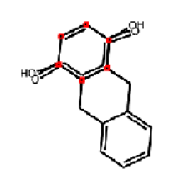 O=C1C=CC(=O)C2=C1C1c3ccccc3C2c2c(O)ccc(O)c21